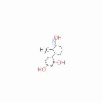 CC1/C(=N/O)CCCC1c1ccc(O)cc1O